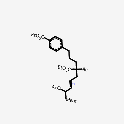 CCCCCC(/C=C/CC(CCCc1ccc(C(=O)OCC)cc1)(C(C)=O)C(=O)OCC)OC(C)=O